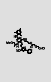 COCC(C)Nc1nc(Nc2c(C)cc(C)cc2C)nc(NCCCOC(=O)COCC=O)c1N=Nc1nn(-c2cccnc2)cc1C#N